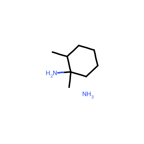 CC1CCCCC1(C)N.N